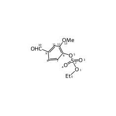 CCOS(=O)(=O)Oc1ccc(C=O)cc1OC